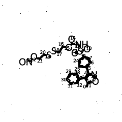 Cc1onc(-c2ccc(S(=O)(=O)NC(=O)OCCSSCCON=O)cc2)c1-c1ccccc1